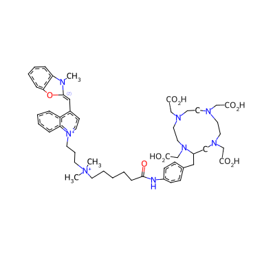 CN1/C(=C/c2cc[n+](CCC[N+](C)(C)CCCCCC(=O)Nc3ccc(CC4CN(CC(=O)O)CCN(CC(=O)O)CCN(CC(=O)O)CCN4CC(=O)O)cc3)c3ccccc23)Oc2ccccc21